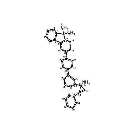 CC1(C)c2ccccc2-c2cc(-c3ccc(-c4cccc(C5(N)C=C5c5ccccc5)c4)cc3)ccc21